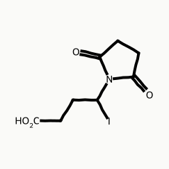 O=C(O)CCC(I)N1C(=O)CCC1=O